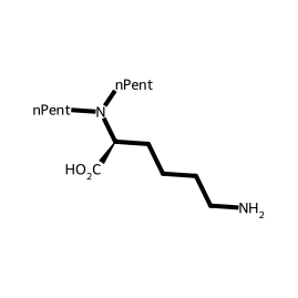 CCCCCN(CCCCC)[C@@H](CCCCN)C(=O)O